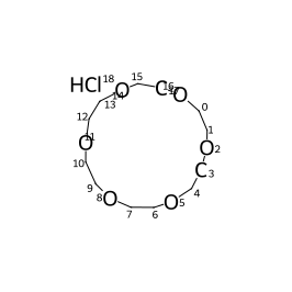 C1COCCOCCOCCOCCOCCO1.Cl